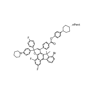 CCCCC[C@H]1CC[C@H](c2ccc(OC(=O)c3ccc(C4=CC(c5ccc(F)cc5)(c5ccc(N6CCCCC6)cc5)Oc5c4c4c(c6cc(F)cc(F)c56)-c5cccc(Br)c5C4(C)C)cc3)cc2)CC1